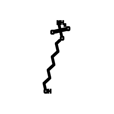 NS(=O)(=O)OCCCCCCCO